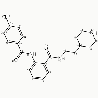 O=C(Nc1ccccc1C(=O)NCCN1CCNCC1)c1ccc(Cl)cc1